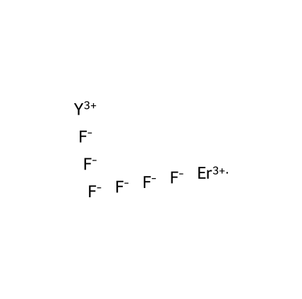 [Er+3].[F-].[F-].[F-].[F-].[F-].[F-].[Y+3]